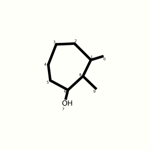 CC1CCCCC(O)C1C